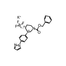 O=C(OCc1ccccc1)N1CC[C@@H](C[B-](F)(F)F)[C@H](c2ccc(-n3cccn3)cc2)C1.[K+]